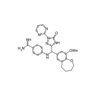 COc1cc(C(Nc2ccc(C(=N)N)cc2)c2nn(-c3ncccn3)c(=O)[nH]2)cc2c1OCCCC2